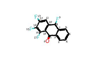 O=C1c2ccccc2C(F)c2cc(F)c(F)c(F)c21